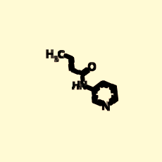 C/C=C/C(=O)Nc1cccnc1